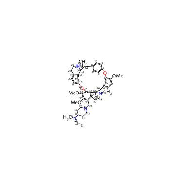 COc1ccc2cc1Oc1ccc(cc1)C[C@H]1c3cc(ccc3CCN1C)Oc1c(OC)c(OC)c(CN3CCC(N(C)C)CC3)c3c1[C@H](C2)N(C)CC3